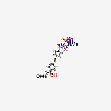 CNC(=O)[C@@](C)(C(=O)NO)N(C)C(=O)c1ccc(C#Cc2ccc([C@@H](O)COC)cc2)cc1